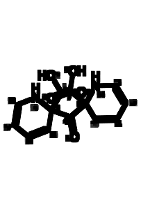 O=C(O)C1(C(=O)C2(C(=O)O)C=CC=CN2)C=CC=CN1